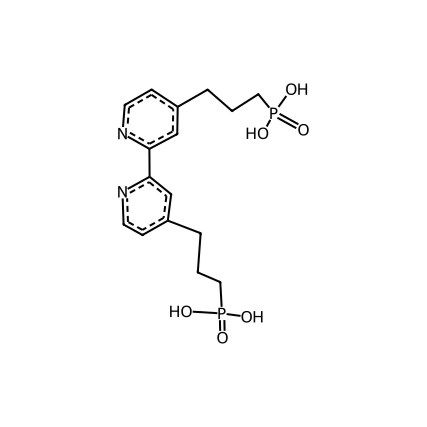 O=P(O)(O)CCCc1ccnc(-c2cc(CCCP(=O)(O)O)ccn2)c1